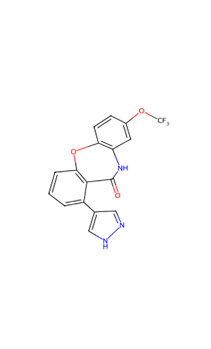 O=C1Nc2cc(OC(F)(F)F)ccc2Oc2cccc(-c3cn[nH]c3)c21